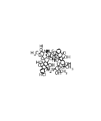 CC(=O)[C@]1(O)Cc2c(O)c3c(c(O)c2[C@@H](O[C@H]2C[C@H](N)[C@H](O)[C@H](C)O2)C1)C(=O)c1ccccc1C3=O.COc1cccc2c1C(=O)c1c(O)c3c(c(O)c1C2=O)C[C@@](O)(C(C)=O)C[C@@H]3OC1CC(N)C(O)C(C)O1.Cl